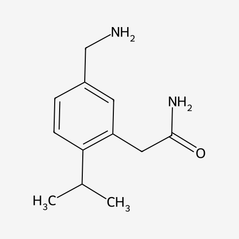 CC(C)c1ccc(CN)cc1CC(N)=O